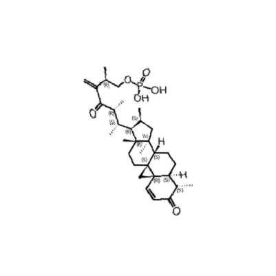 C=C(C(=O)[C@H](C)[C@@H](C)[C@H]1[C@@H](C)C[C@@]2(C)[C@@H]3CC[C@H]4[C@H](C)C(=O)C=C[C@@]45C[C@@]35CC[C@]12C)[C@@H](C)COP(=O)(O)O